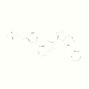 Cc1ccncc1-c1ccc2[nH]nc(-c3cc4c(-c5cc(F)cc(CNS(C)(=O)=O)c5)cncc4[nH]3)c2n1